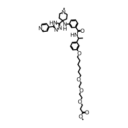 COC(=O)CCOCCOCCOCCCCCCOc1cccc(C(C)NC(=O)c2cccc(NC3(c4nnc(-c5ccncc5)[nH]4)CCN(C)CC3)c2)c1